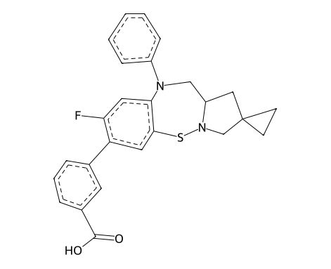 O=C(O)c1cccc(-c2cc3c(cc2F)N(c2ccccc2)CC2CC4(CC4)CN2S3)c1